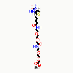 CC(C)(C)OC(=O)COCCOCCNC(=O)COCCOCCNC(=O)CCCC[C@@H]1SC[C@@H]2NC(=O)N[C@@H]21